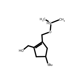 C[SiH](C)OCC1=C(CO)CC(C(C)(C)C)C1